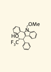 COCn1c(-c2ccccc2)c(C(c2ccccc2)C(O)C(F)(F)F)c2ccccc21